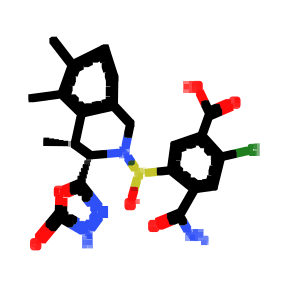 Cc1ccc2c(c1C)[C@@H](C)[C@@H](c1n[nH]c(=O)o1)N([S+]([O-])c1cc(C(=O)O)c(Cl)cc1C(N)=O)C2